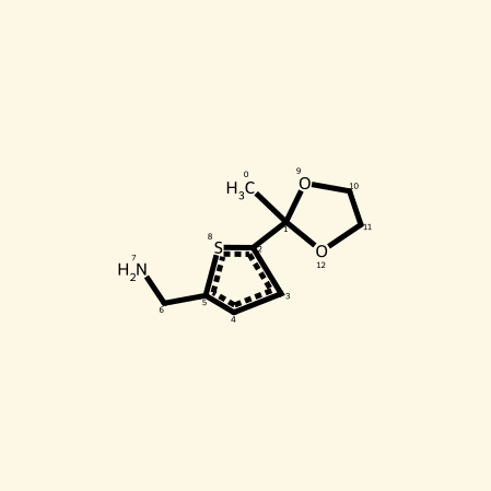 CC1(c2ccc(CN)s2)OCCO1